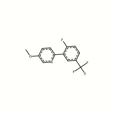 COc1ccc(-c2cc(C(F)(F)F)ccc2F)nc1